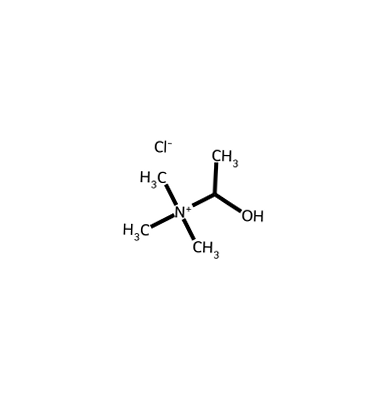 CC(O)[N+](C)(C)C.[Cl-]